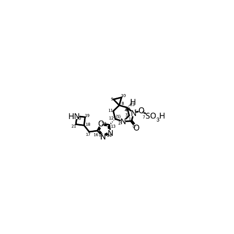 O=C1N2C[C@H](N1OS(=O)(=O)O)C1(CC1)C[C@H]2c1nnc(CC2CNC2)o1